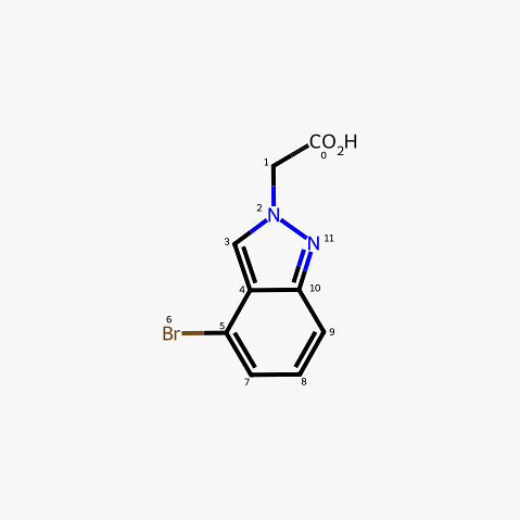 O=C(O)Cn1cc2c(Br)cccc2n1